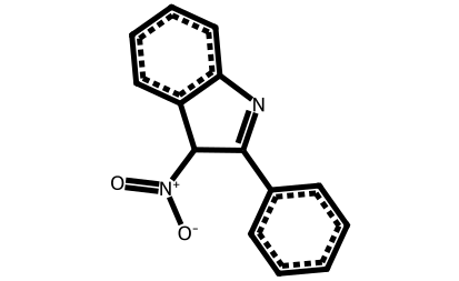 O=[N+]([O-])C1C(c2ccccc2)=Nc2ccccc21